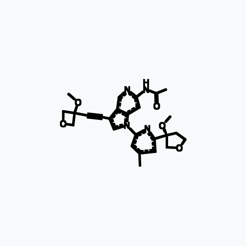 COC1(C#Cc2cn(-c3cc(C)cc([C@]4(OC)CCOC4)n3)c3cc(NC(C)=O)ncc23)COC1